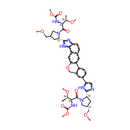 COCC1C[C@@H](c2nc3ccc4cc5c(cc4c3[nH]2)OCc2cc(-c3cnc([C@@H]4C[C@H](COC)CN4C(=O)[C@@H](NC(=O)OC)[C@@H](C)OC)[nH]3)ccc2-5)N(C(=O)[C@@H](NC(=O)OC)[C@@H](C)OC)C1